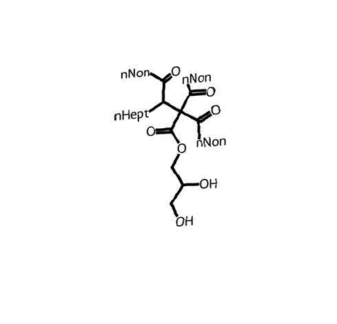 CCCCCCCCCC(=O)C(CCCCCCC)C(C(=O)CCCCCCCCC)(C(=O)CCCCCCCCC)C(=O)OCC(O)CO